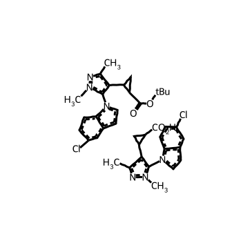 Cc1nn(C)c(-n2ccc3cc(Cl)ccc32)c1C1CC1C(=O)O.Cc1nn(C)c(-n2ccc3cc(Cl)ccc32)c1C1CC1C(=O)OC(C)(C)C